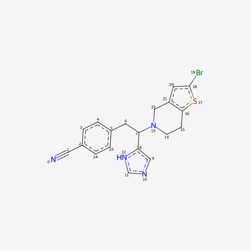 N#Cc1ccc(CC(c2cnc[nH]2)N2CCc3sc(Br)cc3C2)cc1